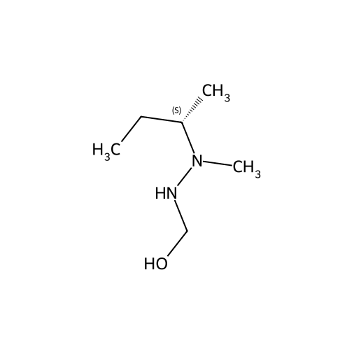 CC[C@H](C)N(C)NCO